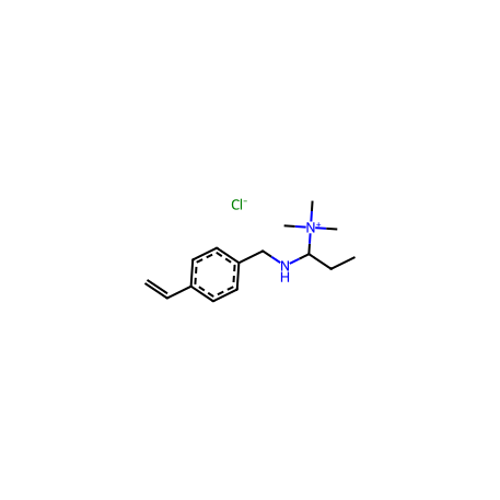 C=Cc1ccc(CNC(CC)[N+](C)(C)C)cc1.[Cl-]